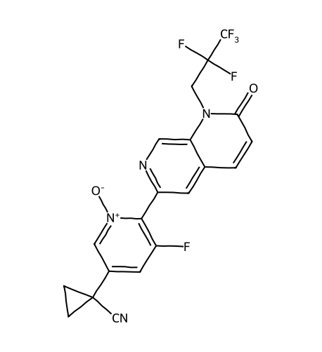 N#CC1(c2cc(F)c(-c3cc4ccc(=O)n(CC(F)(F)C(F)(F)F)c4cn3)[n+]([O-])c2)CC1